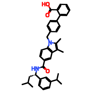 Cc1c(C)n(Cc2ccc(-c3ccccc3C(=O)O)cc2)c2ccc(C(=O)N[C@@H](CC(C)C)c3cccc(C(C)C)c3)cc12